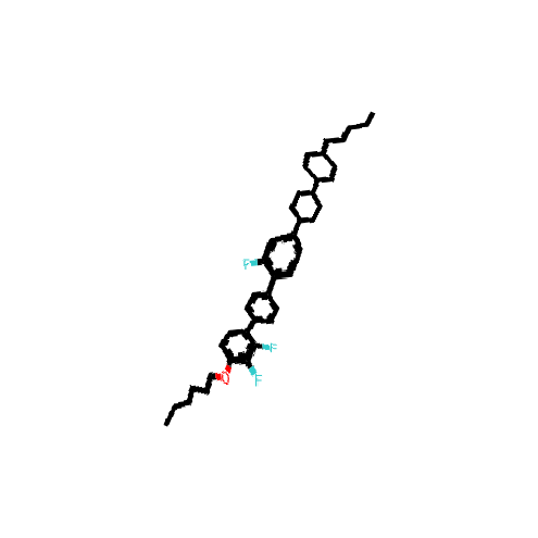 CCCCCCOc1ccc(-c2ccc(-c3ccc(C4CCC(C5CCC(CCCCC)CC5)CC4)cc3F)cc2)c(F)c1F